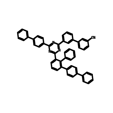 N#Cc1cccc(-c2cccc(-c3nc(-c4ccc(-c5ccccc5)cc4)nc(-c4cccc(-c5ccc(-c6ccccc6)cc5)c4-c4ccccc4)n3)c2)c1